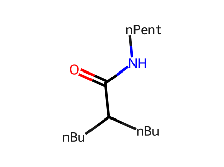 CCCCCNC(=O)C(CCCC)CCCC